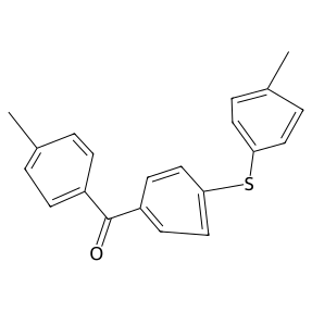 Cc1ccc(Sc2ccc(C(=O)c3ccc(C)cc3)cc2)cc1